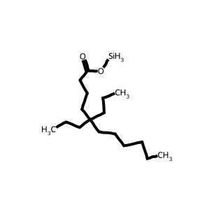 CCCCCCC(CCC)(CCC)CCCC(=O)O[SiH3]